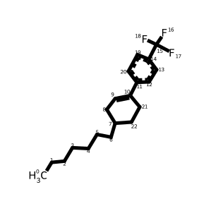 CCCCCCCC1CC=C(c2ccc(C(F)(F)F)cc2)CC1